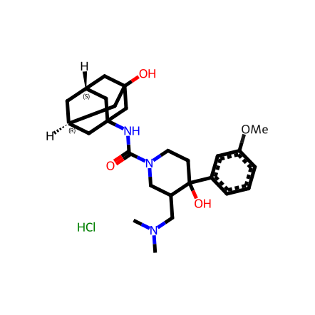 COc1cccc(C2(O)CCN(C(=O)NC34C[C@@H]5C[C@@H](CC(O)(C5)C3)C4)CC2CN(C)C)c1.Cl